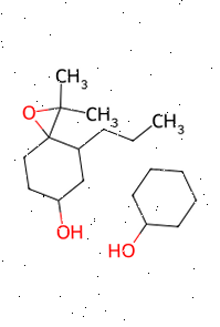 CCCC1CC(O)CCC12OC2(C)C.OC1CCCCC1